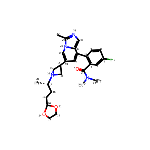 CCN(C(=O)c1cc(F)ccc1-c1cc(C2CN([C@H](CCC3OCCO3)C(C)C)C2)cn2c(C)ncc12)C(C)C